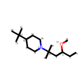 CCC(CC(C)(C)N1CCC(C(C)(C)C)CC1)OC